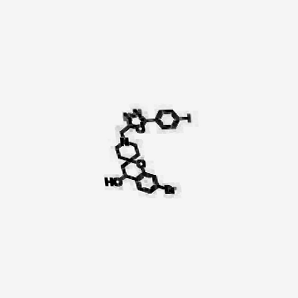 OC1CC2(CCN(Cc3nnc(-c4ccc(I)cc4)o3)CC2)Oc2cc(Br)ccc21